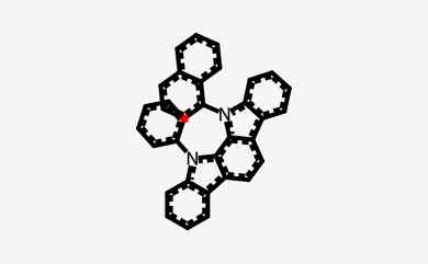 c1ccc(-n2c3ccccc3c3ccc4c5ccccc5n(-c5cccc6ccccc56)c4c32)cc1